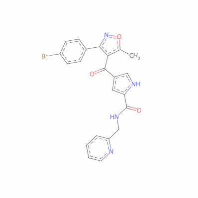 Cc1onc(-c2ccc(Br)cc2)c1C(=O)c1c[nH]c(C(=O)NCc2ccccn2)c1